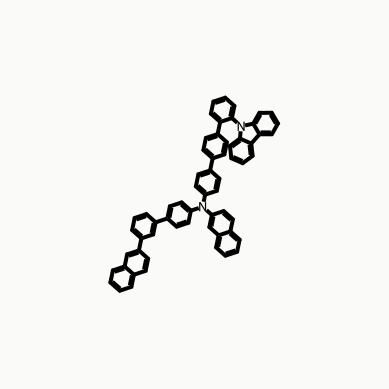 c1cc(-c2ccc(N(c3ccc(-c4ccc(-c5ccccc5-n5c6ccccc6c6ccccc65)cc4)cc3)c3ccc4ccccc4c3)cc2)cc(-c2ccc3ccccc3c2)c1